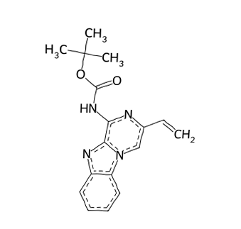 C=Cc1cn2c(nc3ccccc32)c(NC(=O)OC(C)(C)C)n1